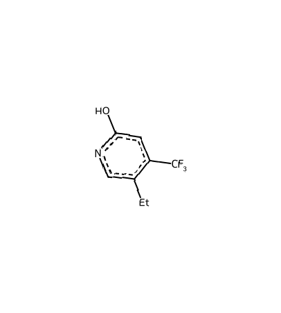 CCc1cnc(O)cc1C(F)(F)F